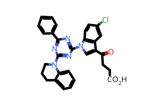 O=C(O)CCC(=O)c1cn(-c2nc(-c3ccccc3)nc(N3CCCc4ccccc43)n2)c2ccc(Cl)cc12